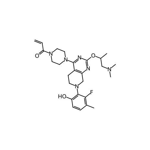 C=CC(=O)N1CCN(c2nc(OC(C)CN(C)C)nc3c2CCN(c2c(O)ccc(C)c2F)C3)CC1